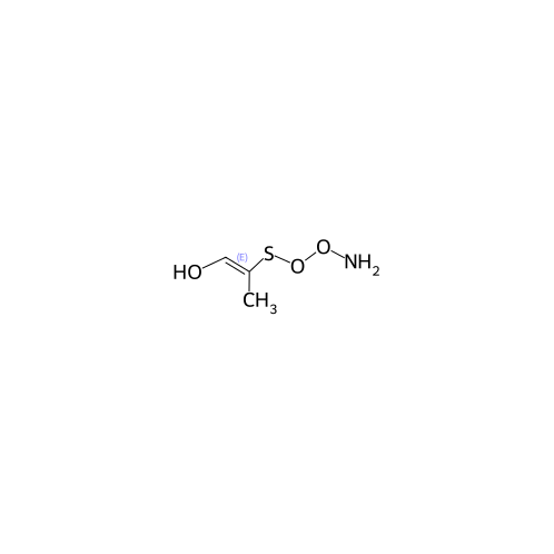 C/C(=C\O)SOON